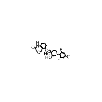 O=C1COCc2c(cccc2OC[C@]2(O)CCN(c3c(F)cc(Cl)cc3F)C[C@H]2O)N1